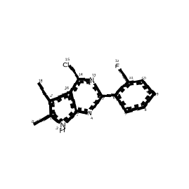 Cc1[nH]c2nc(-c3ccccc3F)nc(Cl)c2c1C